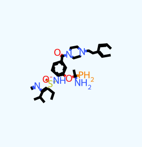 C=N/C(=C(/CC)[S+]([O-])Nc1ccc(C(=O)N2CCN(CCC(/C=C\C)=C/C)CC2)cc1OC(C)(N)P)C(C)C